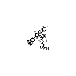 O=C(O)CCNC(=O)c1ccc([C@H](Oc2ccc(-c3ccc(C(F)(F)F)cc3)cc2)C2CCCCC2)s1